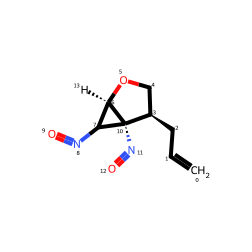 C=CC[C@@H]1CO[C@@H]2C(N=O)[C@]12N=O